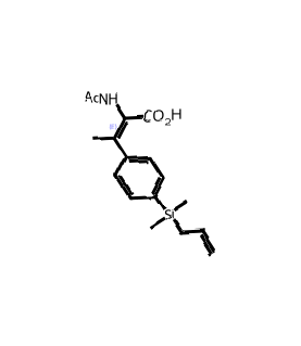 C=CC[Si](C)(C)c1ccc(/C(C)=C(/NC(C)=O)C(=O)O)cc1